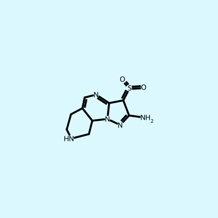 NC1=NN2C(=NC=C3CCNCC32)C1=S(=O)=O